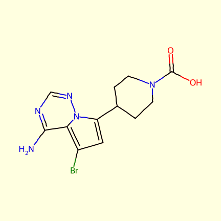 Nc1ncnn2c(C3CCN(C(=O)O)CC3)cc(Br)c12